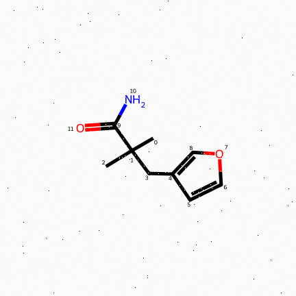 CC(C)(Cc1ccoc1)C(N)=O